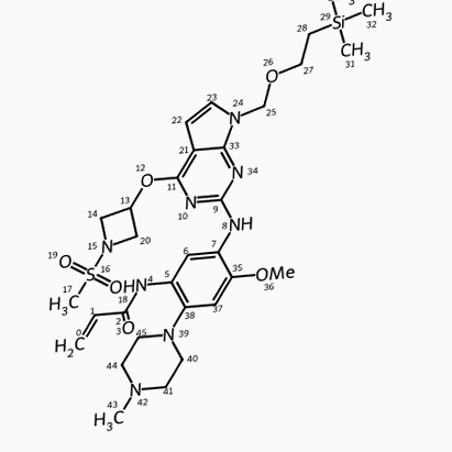 C=CC(=O)Nc1cc(Nc2nc(OC3CN(S(C)(=O)=O)C3)c3ccn(COCC[Si](C)(C)C)c3n2)c(OC)cc1N1CCN(C)CC1